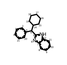 c1ccc(C(c2nc3ccccc3[nH]2)C2CCCCC2)cc1